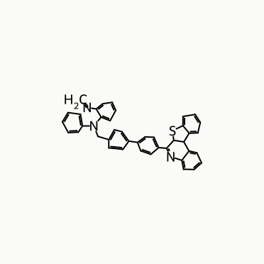 C=Nc1ccccc1N(Cc1ccc(-c2ccc(C3=Nc4ccccc4C4c5ccccc5SC34)cc2)cc1)c1ccccc1